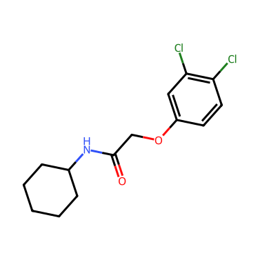 O=C(COc1ccc(Cl)c(Cl)c1)NC1CCCCC1